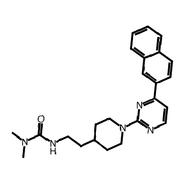 CN(C)C(=O)NCCC1CCN(c2nccc(-c3ccc4ccccc4c3)n2)CC1